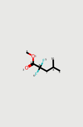 COC(=O)C(F)(F)CC(C)C